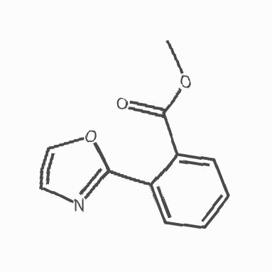 COC(=O)c1ccccc1-c1ncco1